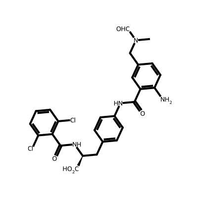 CN(C=O)Cc1ccc(N)c(C(=O)Nc2ccc(C[C@H](NC(=O)c3c(Cl)cccc3Cl)C(=O)O)cc2)c1